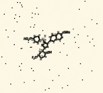 COc1ccc2cc(-c3cc(-c4cc(C(F)(F)F)ccc4O)nn3[C@@H](C)c3ccc(C(=O)O)cc3)ccc2c1